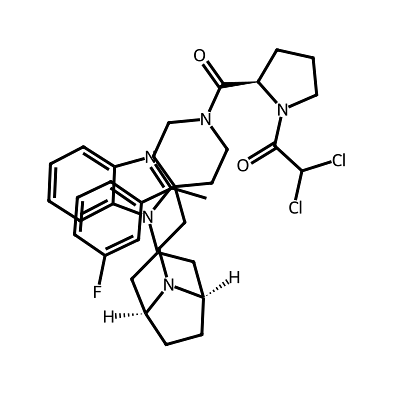 Cc1nc2ccccc2n1C1C[C@H]2CC[C@@H](C1)N2CCC1(c2cccc(F)c2)CCN(C(=O)[C@H]2CCCN2C(=O)C(Cl)Cl)CC1